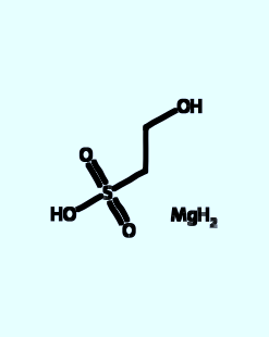 O=S(=O)(O)CCO.[MgH2]